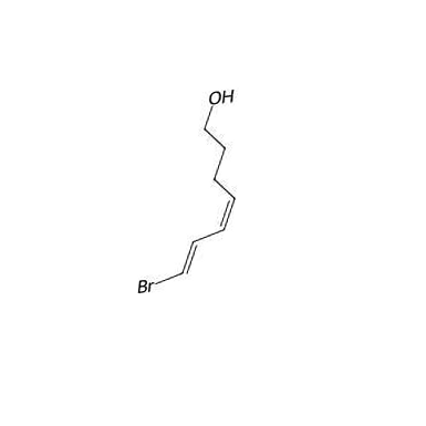 OCCC/C=C\C=C\Br